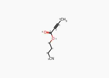 CC#CC(=O)OCCCC#N